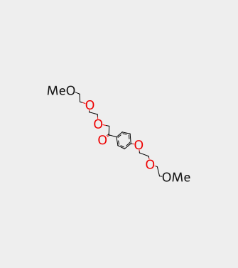 COCCOCCOCC(=O)c1ccc(OCCOCCOC)cc1